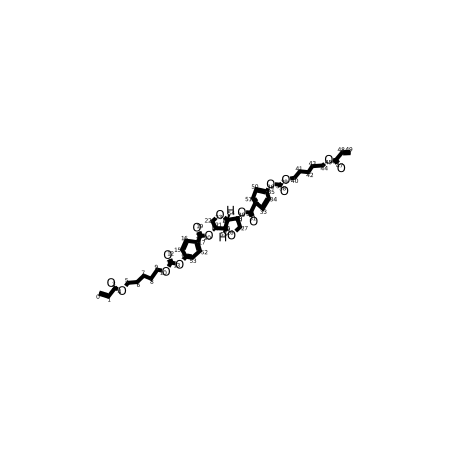 C=CC(=O)OCCCCCOC(=O)Oc1ccc(C(=O)O[C@H]2CO[C@H]3[C@@H]2OC[C@H]3OC(=O)c2ccc(OC(=O)OCCCCCOC(=O)C=C)cc2)cc1